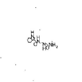 NC(=O)CNCCNC(=O)c1c[nH]c2ccccc12